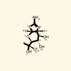 C[C@@](O)([C@H]1O[C@@H]2SC(N)=N[C@@H]2[C@@H](O)[C@@H]1O)C(F)(F)F